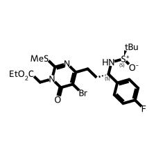 CCOC(=O)Cn1c(SC)nc(CC[C@H](N[S@+]([O-])C(C)(C)C)c2ccc(F)cc2)c(Br)c1=O